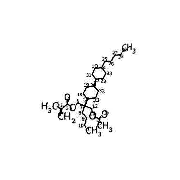 C=C(C)C(=O)OCC(CCCC)(COC(C)=O)C1CCC(C2CCC(CCCCC)CC2)CC1